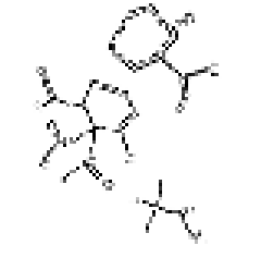 CC(C)(C)NN.Cl.O=C(Cl)C1C=CC=C(Cl)C1([N+](=O)[O-])[N+](=O)[O-].O=C(Cl)c1ccccc1